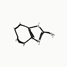 Sc1nc2c(s1)CCCC2